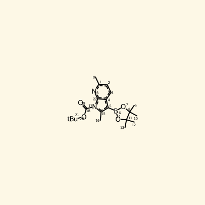 Cc1ccc2c(B3OC(C)(C)C(C)(C)O3)c(C)n(C(=O)OC(C)(C)C)c2n1